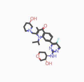 Cc1c(CN2CCC[C@@H](O)C2)n(C(C)C)c2cc(-c3nc(N[C@@H]4CCOC[C@H]4O)ncc3F)ccc2c1=O